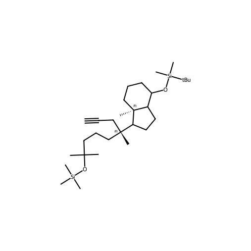 C#CC[C@@](C)(CCCC(C)(C)O[Si](C)(C)C)C1CCC2C(O[Si](C)(C)C(C)(C)C)CCC[C@@]21C